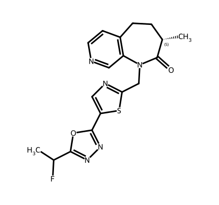 CC(F)c1nnc(-c2cnc(CN3C(=O)[C@@H](C)CCc4ccncc43)s2)o1